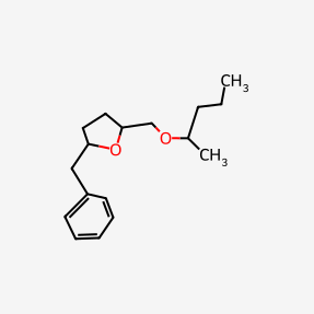 CCCC(C)OCC1CCC(Cc2ccccc2)O1